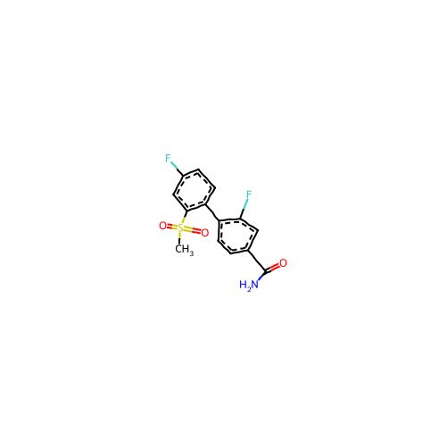 CS(=O)(=O)c1cc(F)ccc1-c1ccc(C(N)=O)cc1F